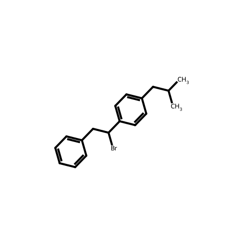 CC(C)Cc1ccc(C(Br)Cc2ccccc2)cc1